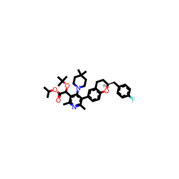 Cc1nc(C)c(C(OC(C)(C)C)C(=O)OC(C)C)c(N2CCC(C)(C)CC2)c1-c1ccc2c(c1)CC[C@@H](Cc1ccc(F)cc1)O2